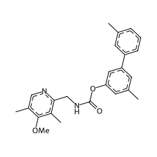 COc1c(C)cnc(CNC(=O)Oc2cc(C)cc(-c3cccc(C)c3)c2)c1C